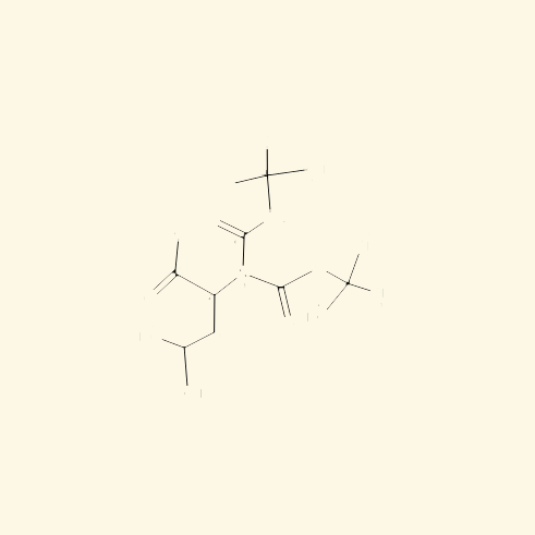 CC(O)CC(C(=O)O)N(C(=O)OC(C)(C)C)C(=O)OC(C)(C)C